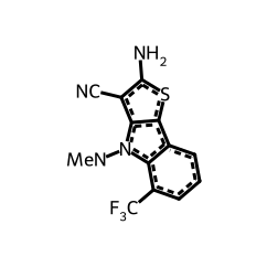 CNn1c2c(C(F)(F)F)cccc2c2sc(N)c(C#N)c21